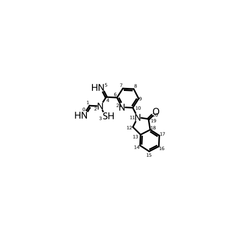 N=CN(S)C(=N)c1cccc(N2Cc3ccccc3C2=O)n1